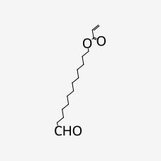 C=CC(=O)OCCCCCCCCCCCCC=O